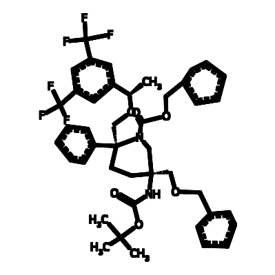 C[C@@H](OC[C@@]1(c2ccccc2)CC[C@](COCc2ccccc2)(NC(=O)OC(C)(C)C)CN1C(=O)OCc1ccccc1)c1cc(C(F)(F)F)cc(C(F)(F)F)c1